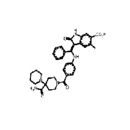 Cc1cc2c(cc1C(=O)O)NC(=O)C2=C(Nc1ccc(C(=O)N2CCC(C(N)=O)(N3CCCCC3)CC2)cc1)c1ccccc1